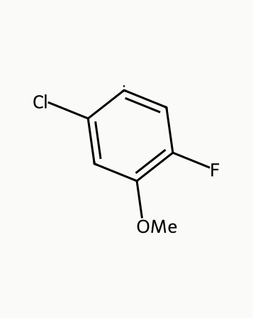 COc1cc(Cl)[c]cc1F